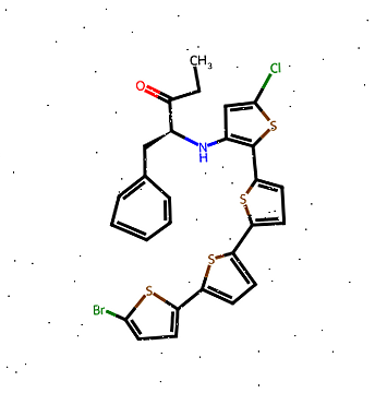 CCC(=O)[C@H](Cc1ccccc1)Nc1cc(Cl)sc1-c1ccc(-c2ccc(-c3ccc(Br)s3)s2)s1